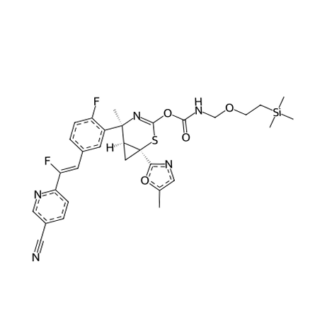 Cc1cnc([C@]23C[C@H]2[C@@](C)(c2cc(/C=C(\F)c4ccc(C#N)cn4)ccc2F)N=C(OC(=O)NCOCC[Si](C)(C)C)S3)o1